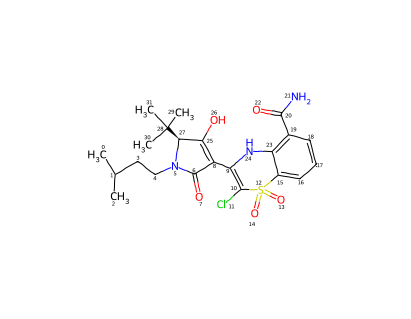 CC(C)CCN1C(=O)C(C2=C(Cl)S(=O)(=O)c3c[c]cc(C(N)=O)c3N2)=C(O)[C@@H]1C(C)(C)C